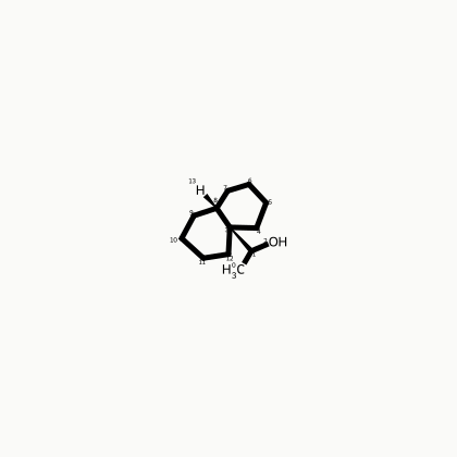 CC(O)[C@]12CCCC[C@H]1CCCC2